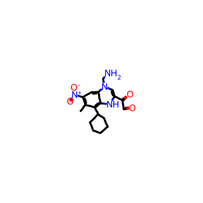 Cc1c([N+](=O)[O-])cc2c(c1C1CCCCC1)NC(C(=O)C=O)=CN2CN